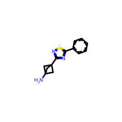 NC12CC(c3nsc(-c4ccccc4)n3)(C1)C2